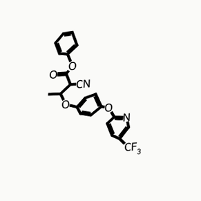 CC(Oc1ccc(Oc2ccc(C(F)(F)F)cn2)cc1)C(C#N)C(=O)Oc1ccccc1